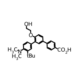 CN(C)c1ccc(-c2cc(-c3ccc(C(=O)O)cc3)ccc2OCCO)cc1C(C)(C)C